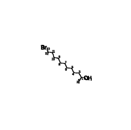 OC(I)CCCCCCCCCCBr